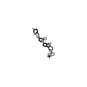 Cc1ccc(COc2ccn(-c3ccc4c5c(n(C)c4c3)CCN(C(=O)OC(C)(C)C)C5)c(=O)c2)nc1